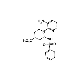 CCOC(=O)C1CCN(c2ncccc2[N+](=O)[O-])C(NS(=O)(=O)c2ccccc2)C1